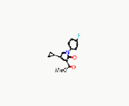 COC(=O)c1cc(C2CC2)cn(-c2ccc(F)cc2)c1=O